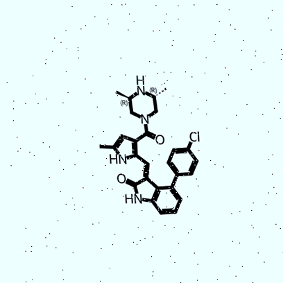 Cc1cc(C(=O)N2C[C@@H](C)N[C@H](C)C2)c(C=C2C(=O)Nc3cccc(-c4ccc(Cl)cc4)c32)[nH]1